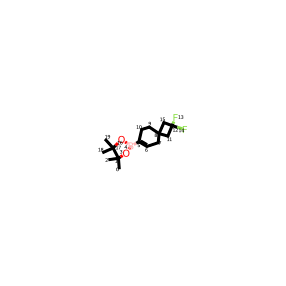 CC1(C)OB(C2=CCC3(CC2)CC(F)(F)C3)OC1(C)C